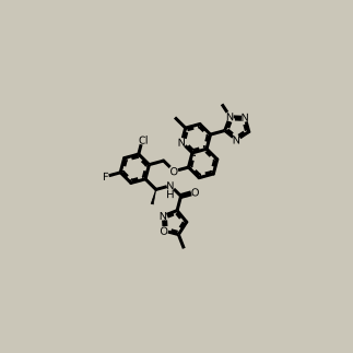 Cc1cc(-c2ncnn2C)c2cccc(OCc3c(Cl)cc(F)cc3[C@H](C)NC(=O)c3cc(C)on3)c2n1